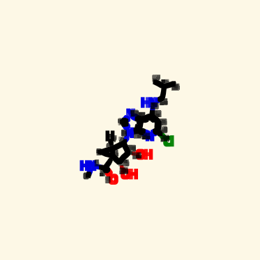 CNC(=O)[C@@]12C[C@@H]1[C@@H](n1cnc3c(NCC(C)C)cc(Cl)nc31)[C@H](O)[C@@H]2O